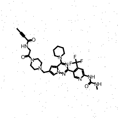 CC#CC(=O)NCC(=O)N1CCN(Cc2cc3c(N4CCCCC4)nc(-c4cnc(NC(=O)NC)cc4C(F)(F)F)nn3c2)CC1